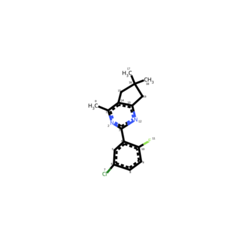 Cc1nc(-c2cc(Cl)ccc2F)nc2c1CC(C)(C)C2